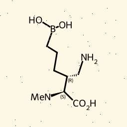 CN[C@H](C(=O)O)[C@@H](CN)CCCB(O)O